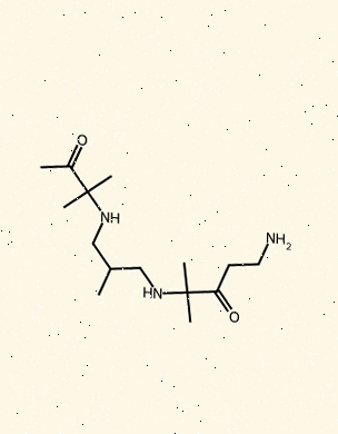 CC(=O)C(C)(C)NCC(C)CNC(C)(C)C(=O)CCN